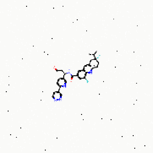 CC(C)[C@]1(F)CCc2nc3c(F)cc(C(=O)N[C@H](CC=O)c4ccc(-c5ccnnc5)nc4)cc3cc2C1